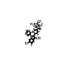 CCc1cc2c(cc1F)c(C#N)c(-c1ccc(S(=O)(=O)N[C@@H](C)C(F)(F)F)cn1)n2-c1cncnc1